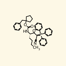 CCCC[C@H](NC(=O)OC1(Cc2ccccc2)CCCC1)C(=O)C(C#N)=P(c1ccccc1)(c1ccccc1)c1ccccc1